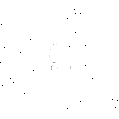 [CH2]C1(C)CCCCCCCC1C